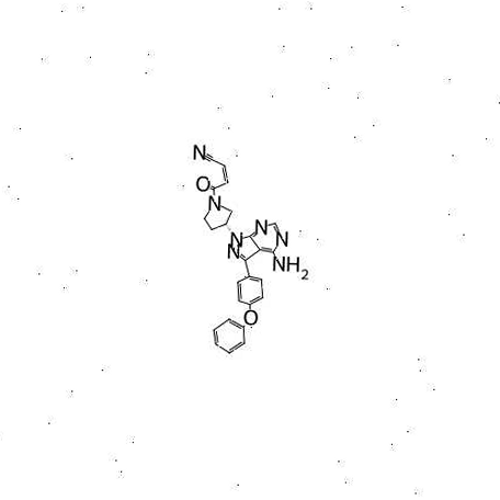 N#C/C=C\C(=O)N1CC[C@@H](n2nc(-c3ccc(Oc4ccccc4)cc3)c3c(N)ncnc32)C1